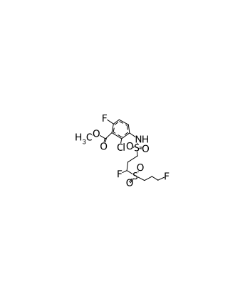 COC(=O)c1c(F)ccc(NS(=O)(=O)CCC(F)S(=O)(=O)CCCF)c1Cl